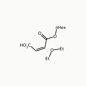 CCCCCCOC(=O)/C=C\C(=O)O.CCOCC